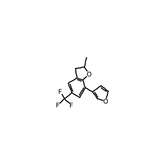 CC1Cc2cc(C(F)(F)F)cc(-c3ccoc3)c2O1